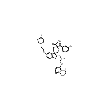 C[C@@H](COc1ccnc2c1[C@H](C)CCC2)CC1Cc2ccc(OCCN3CCN(C)CC3)cc2C12CCC(Nc1cccc(Cl)c1)(C(=O)O)CC2